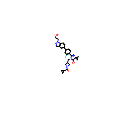 O=C(C1CC1)N1CC(CN2C(=O)C3(CC3)N=C2c2ccc(-c3ccc4c(cnn4CCO)c3)cc2F)C1